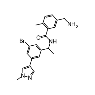 Cc1ccc(CN)cc1C(=O)NC(C)c1cc(Br)cc(-c2cnn(C)c2)c1